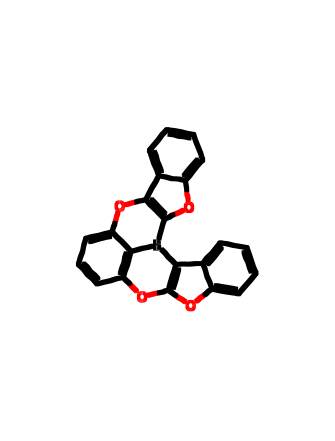 c1cc2c3c(c1)Oc1c(oc4ccccc14)B3c1c(oc3ccccc13)O2